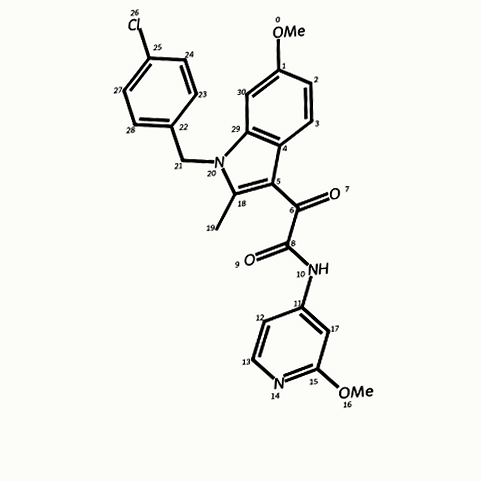 COc1ccc2c(C(=O)C(=O)Nc3ccnc(OC)c3)c(C)n(Cc3ccc(Cl)cc3)c2c1